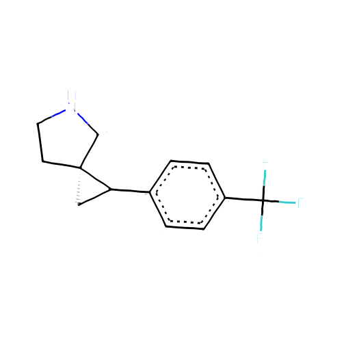 FC(F)(F)c1ccc(C2C[C@@]23CCNC3)cc1